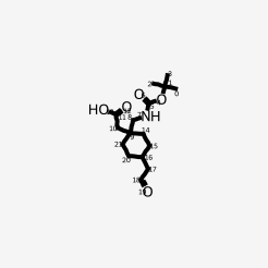 CC(C)(C)OC(=O)NCC1(CC(=O)O)CCC(CC=O)CC1